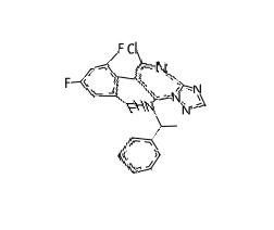 CC(Nc1c(-c2c(F)cc(F)cc2F)c(Cl)nc2ncnn12)c1ccccc1